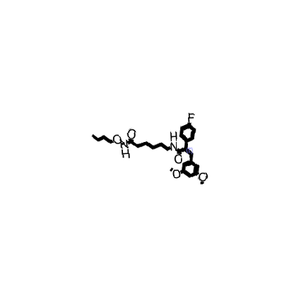 CCCCONC(=O)CCCCCNC(=O)/C(=C\c1cc(OC)cc(OC)c1)c1ccc(F)cc1